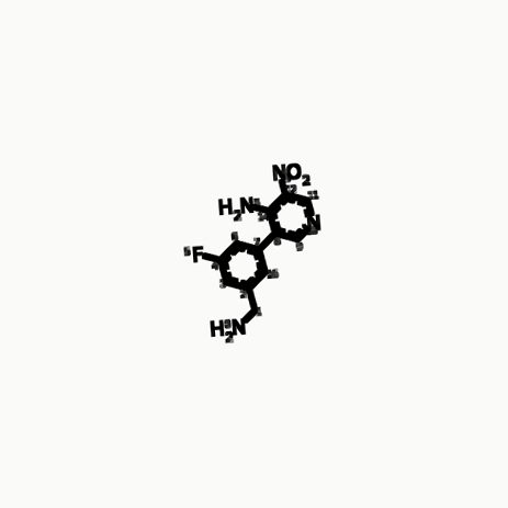 NCc1cc(F)cc(-c2cncc([N+](=O)[O-])c2N)c1